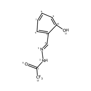 O=C(N/N=C/c1ccccc1O)C(F)(F)F